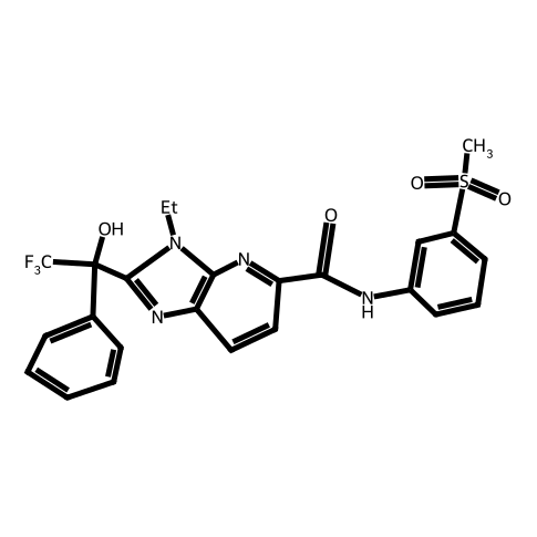 CCn1c(C(O)(c2ccccc2)C(F)(F)F)nc2ccc(C(=O)Nc3cccc(S(C)(=O)=O)c3)nc21